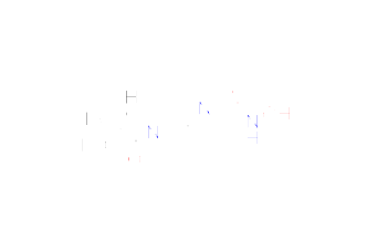 CC(C)(C)C(=O)N1CCc2nc(C(=O)NO)ccc2C1